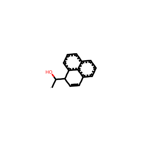 [CH2]C(O)C1C=Cc2cccc3cccc1c23